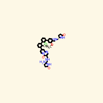 COc1cc(-c2cccc(-c3cccc(-c4ccn5c(=O)c(CNC[C@]6(N)CCC(=O)N6)cnc5c4)c3C)c2Cl)ccc1CNC[C@@H]1CCC(=O)N1